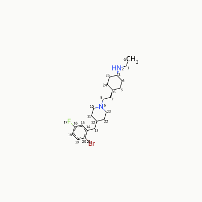 CCN[C@H]1CC[C@@H](CCN2CCC(Cc3cc(F)ccc3Br)CC2)CC1